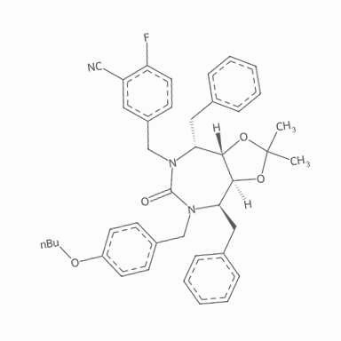 CCCCOc1ccc(CN2C(=O)N(Cc3ccc(F)c(C#N)c3)[C@H](Cc3ccccc3)[C@@H]3OC(C)(C)O[C@H]3[C@H]2Cc2ccccc2)cc1